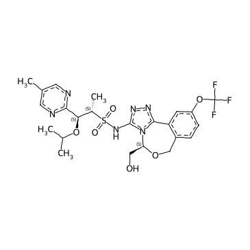 Cc1cnc([C@H](OC(C)C)[C@H](C)S(=O)(=O)Nc2nnc3n2[C@H](CO)OCc2ccc(OC(F)(F)F)cc2-3)nc1